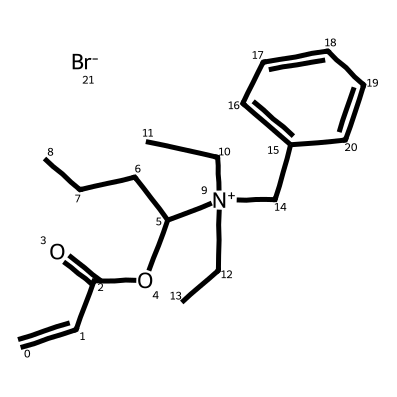 C=CC(=O)OC(CCC)[N+](CC)(CC)Cc1ccccc1.[Br-]